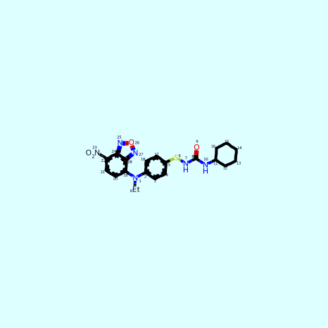 CCN(c1ccc(SNC(=O)NC2CCCCC2)cc1)c1ccc([N+](=O)[O-])c2nonc12